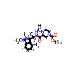 CN1CCN(C(=O)OC(C)(C)C)C[C@H]1C(=O)NC(C)(C)c1nn(C)c2ccccc12